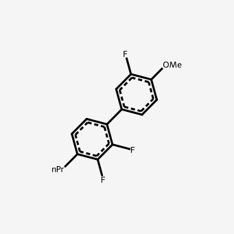 CCCc1ccc(-c2ccc(OC)c(F)c2)c(F)c1F